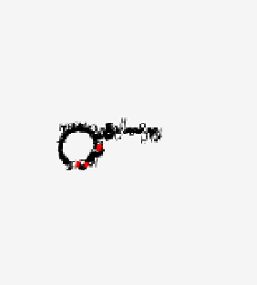 CO[C@H]1C[C@@H]2CC[C@@H](C)[C@@](O)(O2)C(=O)C(=O)N2CCCC[C@H]2C(=O)O[C@H]([C@H](N)C[C@@H]2CC[C@@H](OC(=O)NCCOCCC(=O)NCc3cnc(C)nc3)[C@H](OC)C2)C[C@@H](OC)[C@H](C)/C=C(\C)[C@@H](O)[C@@H](O)C(=O)[C@H](C)C[C@H](C)/C=C/C=C/C=C/1C